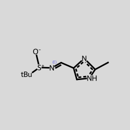 Cc1nc(/C=N/[S+]([O-])C(C)(C)C)c[nH]1